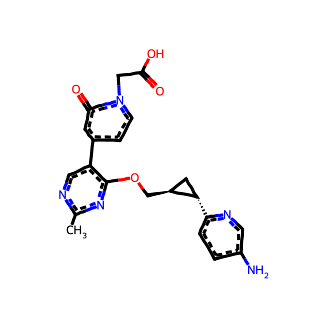 Cc1ncc(-c2ccn(CC(=O)O)c(=O)c2)c(OC[C@H]2C[C@@H]2c2ccc(N)cn2)n1